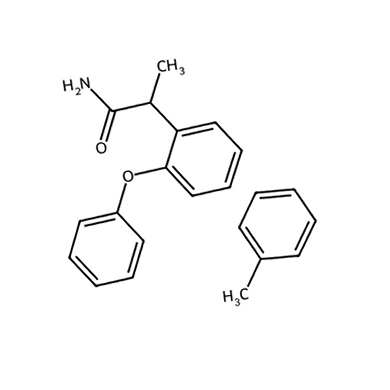 CC(C(N)=O)c1ccccc1Oc1ccccc1.Cc1ccccc1